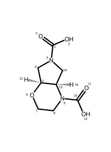 O=C(O)N1C[C@@H]2OCCN(C(=O)O)[C@@H]2C1